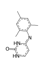 Cc1cc(C)c(/N=c2/cc[nH]c(=O)[nH]2)c(C)c1